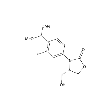 COC(OC)c1ccc(N2C(=O)OC[C@@H]2CO)cc1F